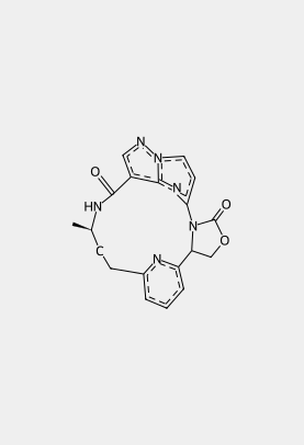 C[C@@H]1CCc2cccc(n2)C2COC(=O)N2c2ccn3ncc(c3n2)C(=O)N1